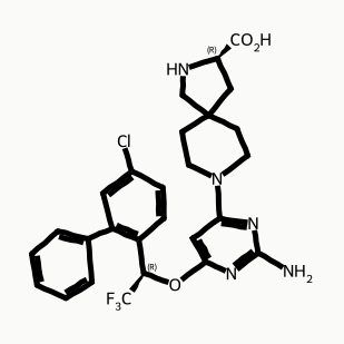 Nc1nc(O[C@H](c2ccc(Cl)cc2-c2ccccc2)C(F)(F)F)cc(N2CCC3(CC2)CN[C@@H](C(=O)O)C3)n1